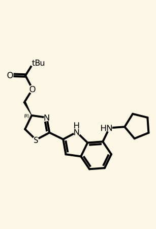 CC(C)(C)C(=O)OC[C@@H]1CSC(c2cc3cccc(NC4CCCC4)c3[nH]2)=N1